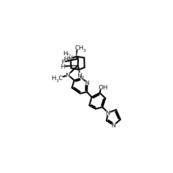 CN(c1ccc(-c2ccc(-n3ccnc3)cc2O)nn1)[C@H]1[C@@H]2CC[C@@](C)(NC2)[C@@H]1F